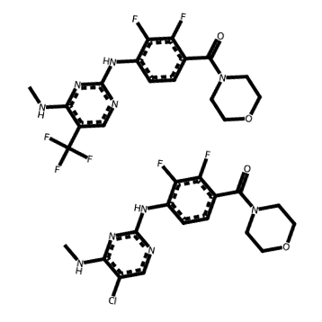 CNc1nc(Nc2ccc(C(=O)N3CCOCC3)c(F)c2F)ncc1C(F)(F)F.CNc1nc(Nc2ccc(C(=O)N3CCOCC3)c(F)c2F)ncc1Cl